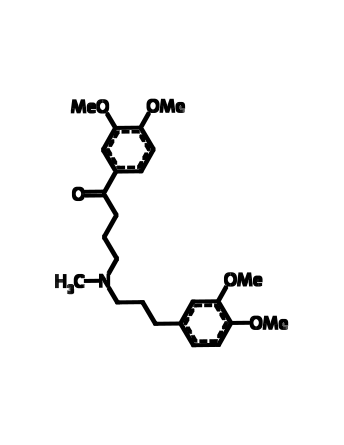 COc1ccc(CCCN(C)CCCC(=O)c2ccc(OC)c(OC)c2)cc1OC